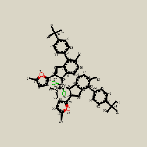 Cc1ccc(C2=Cc3c(ccc(C)c3-c3ccc(C(C)(C)C)cc3)[CH]2[Zr]([Cl])([Cl])([CH]2C(c3ccc(C)o3)=Cc3c2ccc(C)c3-c2ccc(C(C)(C)C)cc2)=[Si](C)C)o1